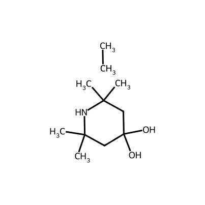 CC.CC1(C)CC(O)(O)CC(C)(C)N1